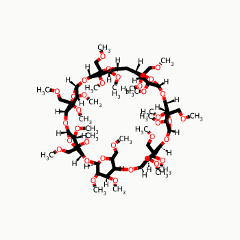 COCC1O[C@@H]2O[C@@H]3C(COC)O[C@H](O[C@@H]4C(COC)O[C@H](O[C@@H]5C(COC)O[C@H](O[C@@H]6C(COC)O[C@H](C[C@@H]7C(COC)O[C@H](O[C@@H]8C(COC)O[C@H](O[C@H]1C(OC)[C@H]2OC)C(OC)[C@@H]8OC)C(OC)[C@@H]7OC)[C@H](OC)C6OC)[C@H](OC)C5OC)[C@H](OC)C4OC)C(OC)[C@@H]3OC